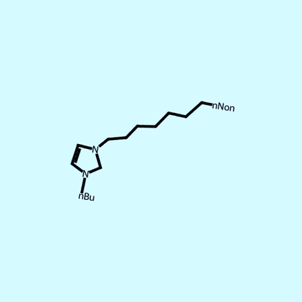 CCCCCCCCCCCCCCCCN1C=CN(CCCC)C1